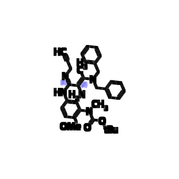 C#CC/N=C(Nc1ccc(OC)c(N(C)C(=O)OC(C)(C)C)c1)\C(N)=C(/C)N(Cc1ccccc1)Cc1ccccc1